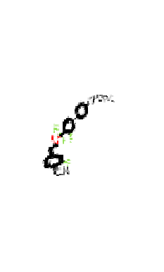 CCCCC[C@H]1CC[C@H](c2ccc(C(F)(F)OCCc3ccc(C#N)c(F)c3)c(F)c2)CC1